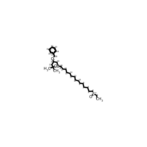 CC[S+]([O-])CCCCCCCCCCCCCCCOCC(CC(C)(C)C)OCc1ccccc1